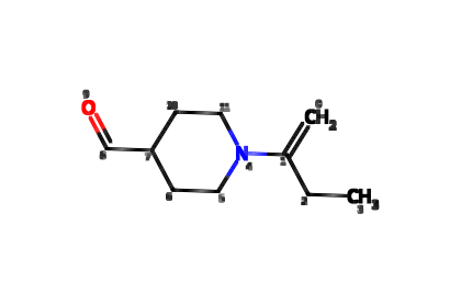 C=C(CC)N1CCC(C=O)CC1